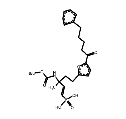 CC(C)(C)OC(=O)N[C@@](C)(C=CP(=O)(O)O)CCc1ccc(C(=O)CCCCc2ccccc2)o1